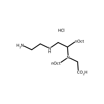 CCCCCCCCC(CNCCN)N(CCCCCCCC)CC(=O)O.Cl